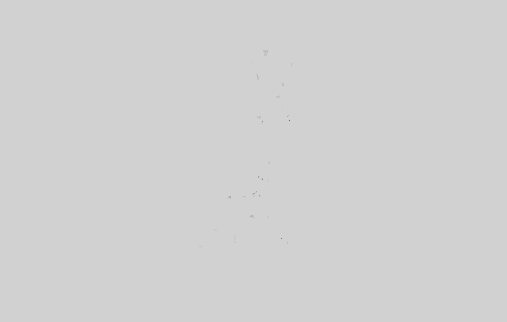 CN(C)S(=O)(=O)c1cn(NC(=O)c2cnc(-c3cccc(F)c3)nc2)c2ccc(F)cc12